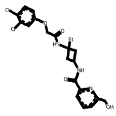 CCC1(NC(=O)COc2ccc(Cl)c(Cl)c2)CC(NC(=O)c2cccc(CO)n2)C1